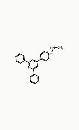 CNC.c1ccc(-c2cc(-c3ccccc3)nc(-c3ccccc3)c2)cc1